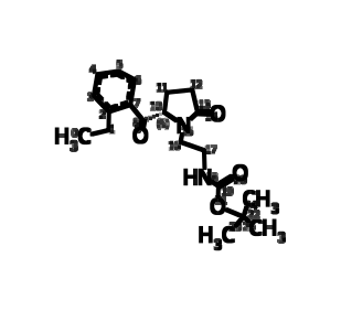 CCc1ccccc1C(=O)[C@@H]1CCC(=O)N1CCNC(=O)OC(C)(C)C